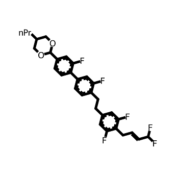 CCCC1COC(c2ccc(-c3ccc(CCc4cc(F)c(C/C=C/C(F)F)c(F)c4)c(F)c3)c(F)c2)OC1